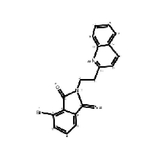 O=C1c2c(Br)cccc2C(=S)N1CCc1ccc2ccccc2n1